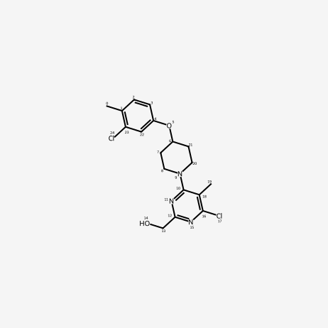 Cc1ccc(OC2CCN(c3nc(CO)nc(Cl)c3C)CC2)cc1Cl